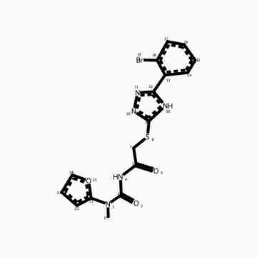 CN(C(=O)NC(=O)CSc1nnc(-c2ccccc2Br)[nH]1)c1ccco1